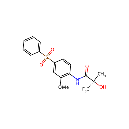 COc1cc(S(=O)(=O)c2ccccc2)ccc1NC(=O)[C@@](C)(O)C(F)(F)F